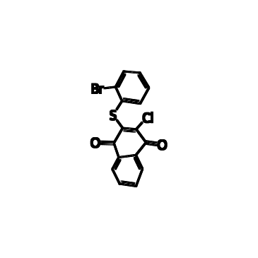 O=C1C(Cl)=C(Sc2ccccc2Br)C(=O)c2ccccc21